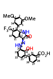 COc1cc(OC)cc(-c2c(C(F)(F)F)ccc3c2NC(=O)C3=NNc2cccc(-c3cccc(C(=O)O)c3)c2O)c1